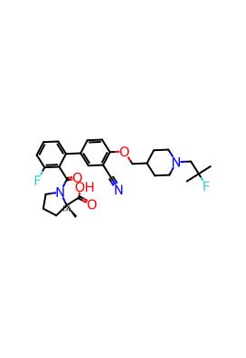 CC(C)(F)CN1CCC(COc2ccc(-c3cccc(F)c3C(=O)N3CCC[C@@]3(C)C(=O)O)cc2C#N)CC1